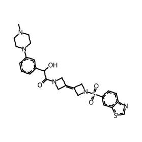 CN1CCN(c2cccc(C(O)C(=O)N3CC(=C4CN(S(=O)(=O)c5ccc6ncsc6c5)C4)C3)c2)CC1